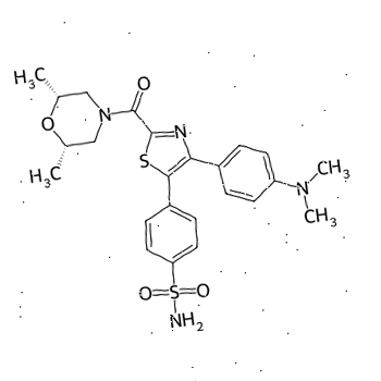 C[C@@H]1CN(C(=O)c2nc(-c3ccc(N(C)C)cc3)c(-c3ccc(S(N)(=O)=O)cc3)s2)C[C@H](C)O1